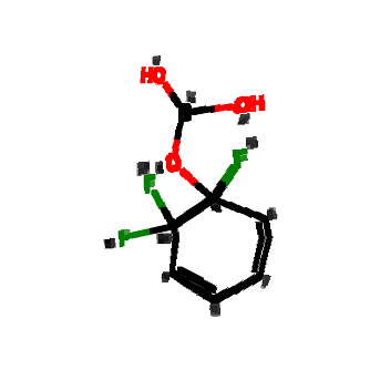 OB(O)OC1(F)C=CC=CC1(F)F